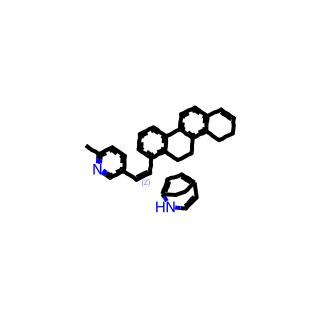 C1=CC2=CC=C(CC2)N1.Cc1ccc(/C=C\c2cccc3c2CCc2c-3ccc3c2CCC=C3)cn1